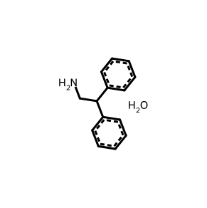 NCC(c1ccccc1)c1ccccc1.O